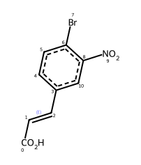 O=C(O)/C=C/c1ccc(Br)c([N+](=O)[O-])c1